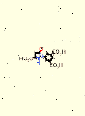 O=C(O)c1cc(C(=O)O)cc(-n2[nH]c(C(=O)O)cc2=O)c1